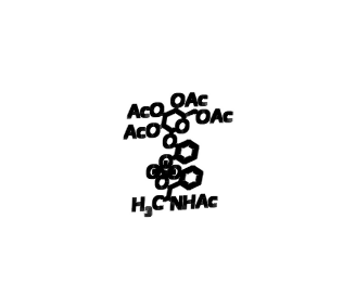 CC(=O)N[C@@H](C)[C@H](OS(=O)(=O)Oc1ccccc1OC1O[C@H](COC(C)=O)[C@H](OC(C)=O)[C@H](OC(C)=O)[C@H]1OC(C)=O)c1ccccc1